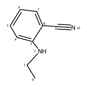 CCNc1ccccc1C#N